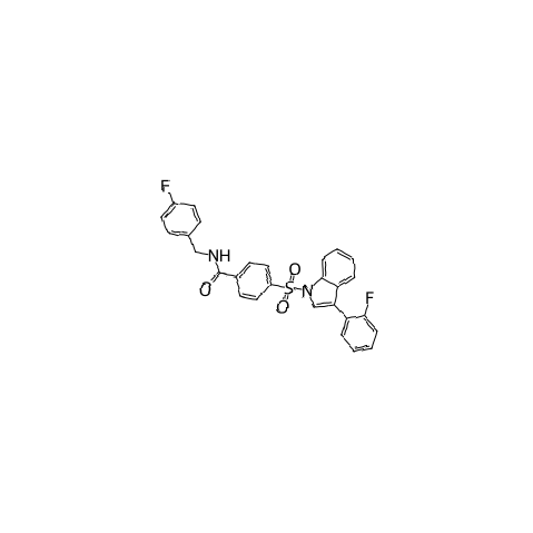 O=C(NCc1ccc(F)cc1)c1ccc(S(=O)(=O)n2cc(-c3ccccc3F)c3ccccc32)cc1